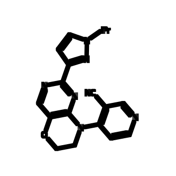 CC(C)n1ccc(-c2ncc3c(n2)N(c2ccncc2C#N)CCO3)n1